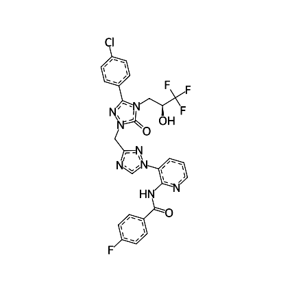 O=C(Nc1ncccc1-n1cnc(Cn2nc(-c3ccc(Cl)cc3)n(C[C@H](O)C(F)(F)F)c2=O)n1)c1ccc(F)cc1